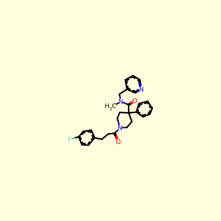 CN(Cc1cccnc1)C(=O)C1(c2ccccc2)CCN(C(=O)CCc2ccc(F)cc2)CC1